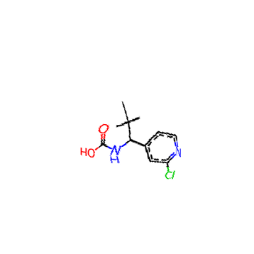 CC(C)(C)C(NC(=O)O)c1ccnc(Cl)c1